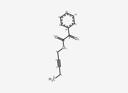 CCC#CCOC(=O)C(=O)c1ccccc1